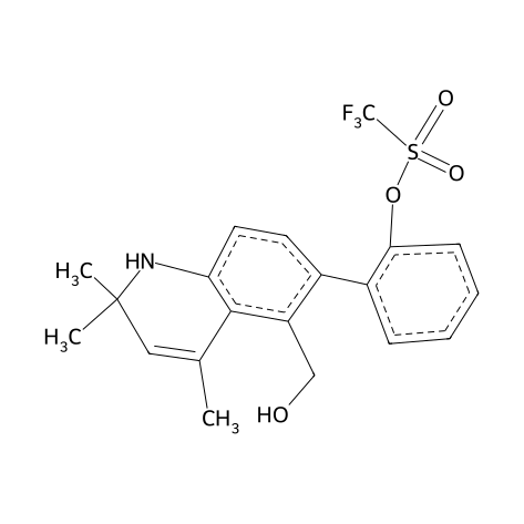 CC1=CC(C)(C)Nc2ccc(-c3ccccc3OS(=O)(=O)C(F)(F)F)c(CO)c21